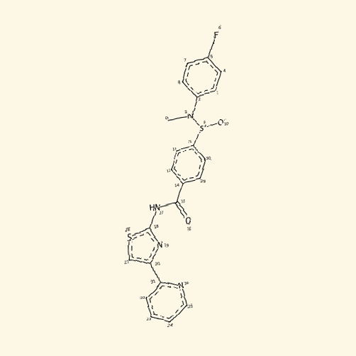 CN(c1ccc(F)cc1)[S+]([O-])c1ccc(C(=O)Nc2nc(-c3ccccn3)cs2)cc1